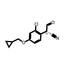 N#C[C@@H](C=O)c1ccc(OCC2CC2)cc1Cl